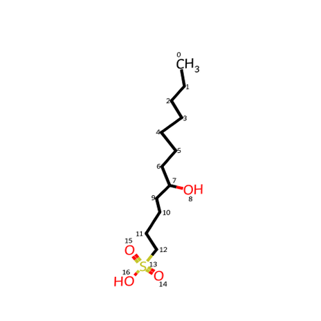 CCCCCCCC(O)CCCCS(=O)(=O)O